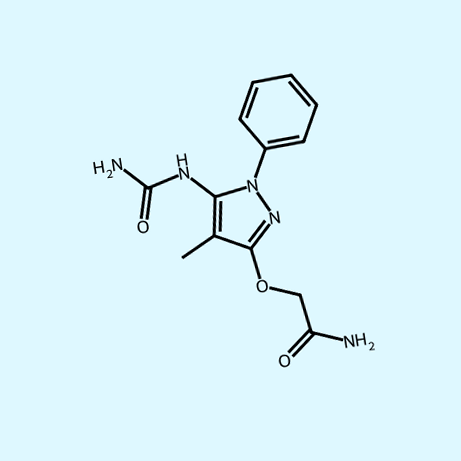 Cc1c(OCC(N)=O)nn(-c2ccccc2)c1NC(N)=O